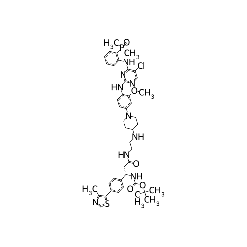 COc1cc(N2CCC(NCCNC(=O)C[C@H](NC(=O)OC(C)(C)C)c3ccc(-c4scnc4C)cc3)CC2)ccc1Nc1ncc(Cl)c(Nc2ccccc2P(C)(C)=O)n1